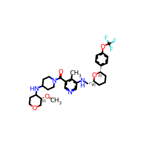 CO[C@@H]1COCCC1NC1CCN(C(=O)c2cncc(NC[C@H]3CCC[C@@H](c4ccc(OC(F)(F)F)cc4)O3)c2C)CC1